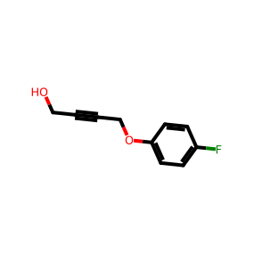 OCC#CCOc1ccc(F)cc1